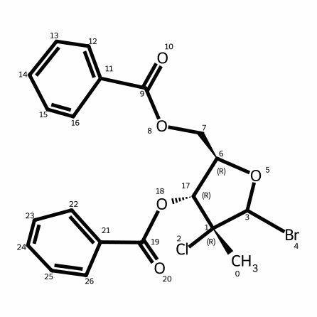 C[C@]1(Cl)C(Br)O[C@H](COC(=O)c2ccccc2)[C@H]1OC(=O)c1ccccc1